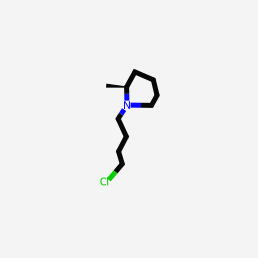 C[C@H]1CCCCN1CCCCCl